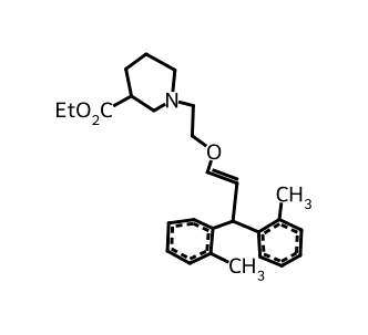 CCOC(=O)C1CCCN(CCOC=CC(c2ccccc2C)c2ccccc2C)C1